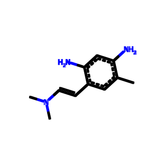 Cc1cc(/C=C/N(C)C)c(N)cc1N